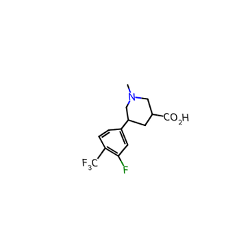 CN1CC(C(=O)O)CC(c2ccc(C(F)(F)F)c(F)c2)C1